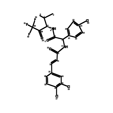 CC(C)[C@H](NC(=O)C(NC(=O)/C=C/c1ccc(Cl)c(Cl)c1)c1ccc(Cl)cc1)C(=O)C(F)(F)F